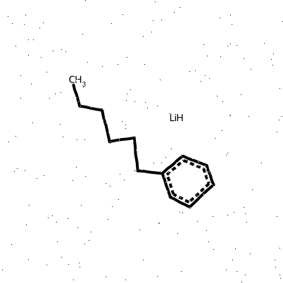 CCCCC[CH]c1ccccc1.[LiH]